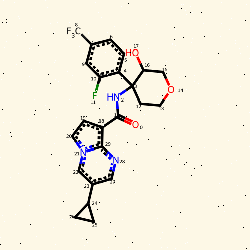 O=C(NC1(c2ccc(C(F)(F)F)cc2F)CCOCC1O)c1ccn2cc(C3CC3)cnc12